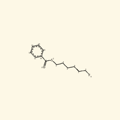 O=C(SCCCCCCF)c1ccccc1